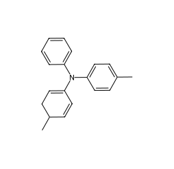 Cc1ccc(N(C2=CCC(C)C=C2)c2ccccc2)cc1